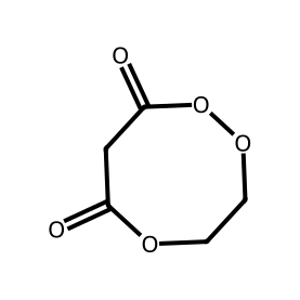 O=C1CC(=O)OOCCO1